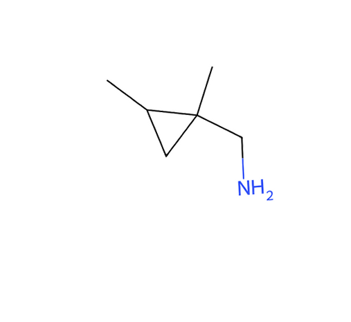 CC1CC1(C)CN